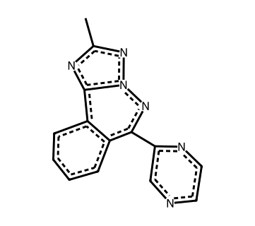 Cc1nc2c3ccccc3c(-c3cnccn3)nn2n1